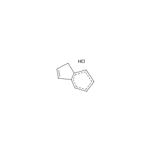 C1=Cc2ccccc2C1.Cl